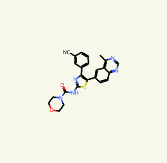 Cc1ncnc2ccc(-c3sc(NC(=O)N4CCOCC4)nc3-c3cccc(C#N)c3)cc12